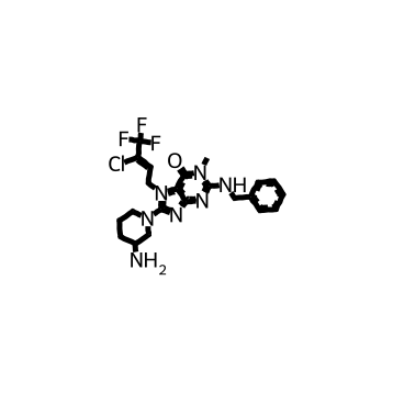 Cn1c(NCc2ccccc2)nc2nc(N3CCCC(N)C3)n(CC=C(Cl)C(F)(F)F)c2c1=O